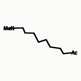 CNCCCCCCCCC(C)=O